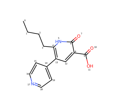 CCCCc1[nH]c(=O)c(C(=O)O)cc1-c1ccncc1